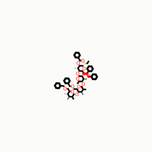 CCS[C@@H]1OC(COCc2ccccc2)[C@@H](O[C@@H]2OC(C)[C@@H](O[C@H]3OC(COCc4ccccc4)[C@H](O[C@H]4OC(COCc5ccccc5)[C@@H](C)[C@H](C)C4C)[C@H](C)C3C)[C@H](C)C2OC(=O)c2ccccc2)[C@H](C)C1OC(=O)c1ccccc1